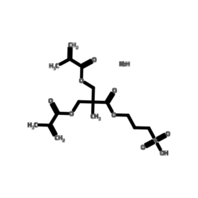 C=C(C)C(=O)OCC(C)(COC(=O)C(=C)C)C(=O)OCCCS(=O)(=O)O.[RbH]